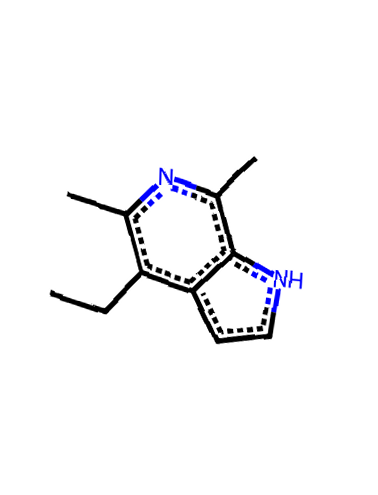 CCc1c(C)nc(C)c2[nH]ccc12